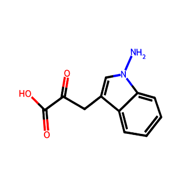 Nn1cc(CC(=O)C(=O)O)c2ccccc21